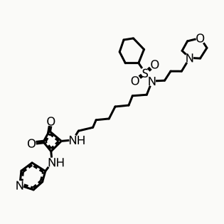 O=c1c(NCCCCCCCCN(CCCN2CCOCC2)S(=O)(=O)C2CCCCC2)c(Nc2ccncc2)c1=O